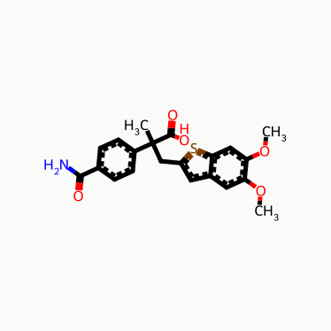 COc1cc2cc(CC(C)(C(=O)O)c3ccc(C(N)=O)cc3)sc2cc1OC